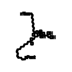 CCCCC/C=C\C/C=C\C/C=C\CCCCCCC(=O)OC[C@H](COP(=O)(O)OC[C@@H](O)CO)OC(=O)CCCCCCC/C=C\CCCCCCCCC